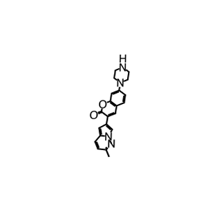 Cc1ccc2cc(-c3cc4ccc(N5CCNCC5)cc4oc3=O)cn2n1